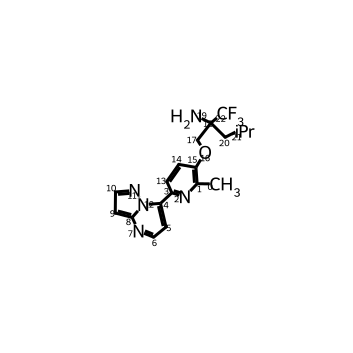 Cc1nc(-c2ccnc3ccnn23)ccc1OCC(N)(CC(C)C)C(F)(F)F